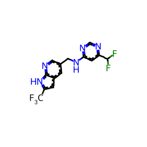 FC(F)c1cc(NCc2cnc3[nH]c(C(F)(F)F)cc3c2)ncn1